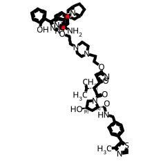 Cc1ncsc1-c1ccc(CNC(=O)[C@@H]2C[C@@H](O)CN2C(=O)[C@@H](c2cc(OCCN3CCN(CCOc4cc(N5C6CCC5CN(c5cc(-c7ccccc7O)nnc5N)C6)ccn4)CC3)no2)C(C)C)cc1